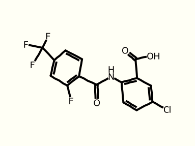 O=C(Nc1ccc(Cl)cc1C(=O)O)c1ccc(C(F)(F)F)cc1F